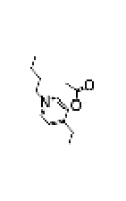 CC(=O)[O-].CCCC[n+]1ccc(CC)cc1